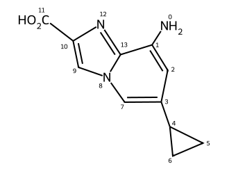 Nc1cc(C2CC2)cn2cc(C(=O)O)nc12